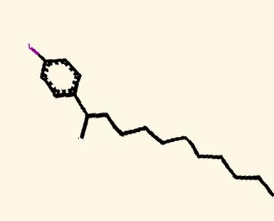 [CH2]C(CCCCCCCCCC)c1ccc(I)cc1